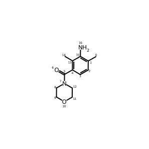 Cc1ccc(C(=O)N2CCOCC2)c(C)c1N